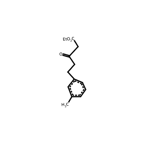 CCOC(=O)CC(=O)CCc1cccc(C)c1